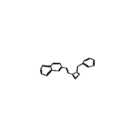 C(=Cc1ccc2ccccc2c1)C1=CCC1Cc1ccccc1